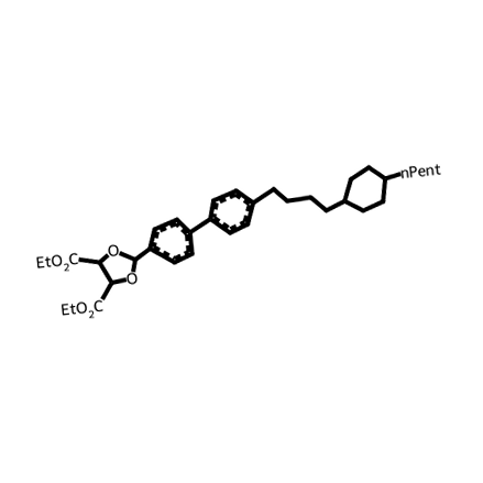 CCCCCC1CCC(CCCCc2ccc(-c3ccc(C4OC(C(=O)OCC)C(C(=O)OCC)O4)cc3)cc2)CC1